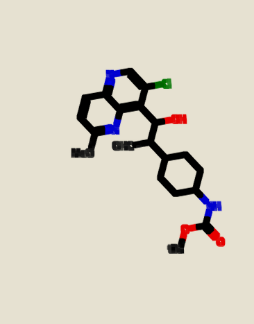 COc1ccc2ncc(Cl)c(C(O)C(C=O)C3CCC(NC(=O)OC(C)(C)C)CC3)c2n1